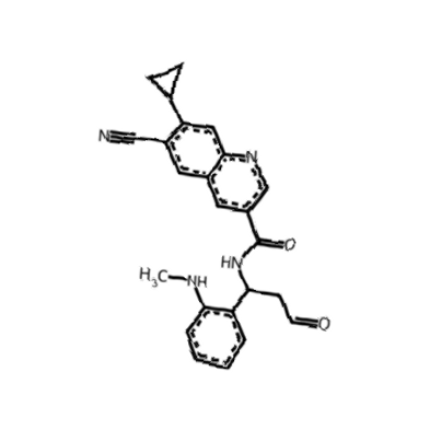 CNc1ccccc1C(CC=O)NC(=O)c1cnc2cc(C3CC3)c(C#N)cc2c1